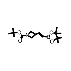 CC(C)(C)OC(=O)N1CC(/C=C/B2OC(C)(C)C(C)(C)O2)C1